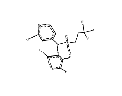 O=S(=O)(CCC(F)(F)F)C(c1ccnc(Cl)c1)c1c(F)ccc(F)c1F